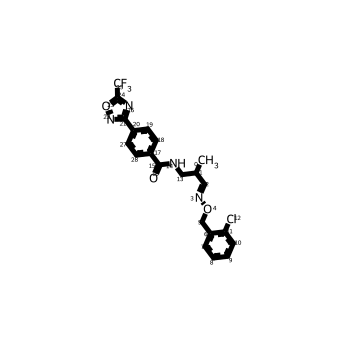 CC(C=NOCc1ccccc1Cl)CNC(=O)c1ccc(-c2noc(C(F)(F)F)n2)cc1